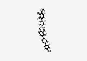 O=C(Oc1ccc(C2CCC(c3ccc(O)c(F)c3F)CC2)c(F)c1F)C1CCC(c2ccc(O)c(F)c2F)CC1